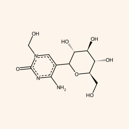 Nc1nc(=O)n(CO)cc1C1O[C@H](CO)[C@@H](O)[C@H](O)[C@H]1O